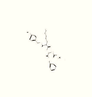 CCCCCCC(C(=O)C[C@H](NC(=O)OC(C)(C)C)C(=O)OCc1ccccc1)C(=O)OCc1ccc([N+](=O)[O-])cc1